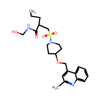 CCCC(CS(=O)(=O)N1CCC(OCc2cc(C)nc3ccccc23)CC1)C(=O)NCO